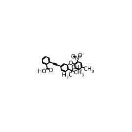 Cc1ccc(Oc2cc(C#Cc3ccccc3C(=O)O)ccc2C(C)(C)C)c([N+](=O)[O-])c1